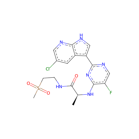 C[C@H](Nc1nc(-c2c[nH]c3ncc(Cl)cc23)ncc1F)C(=O)NCCS(C)(=O)=O